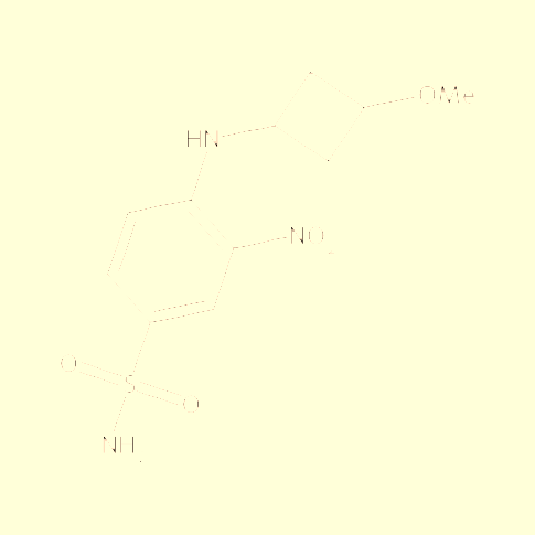 COC1CC(Nc2ccc(S(N)(=O)=O)cc2[N+](=O)[O-])C1